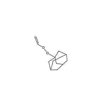 C=COOC12CC3CC(CC(C3)C1)C2